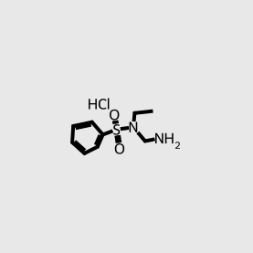 CCN(CN)S(=O)(=O)c1ccccc1.Cl